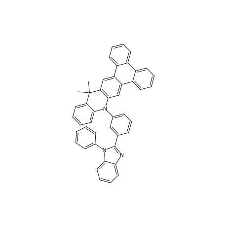 CC1(C)c2ccccc2N(c2cccc(-c3nc4ccccc4n3-c3ccccc3)c2)c2cc3c4ccccc4c4ccccc4c3cc21